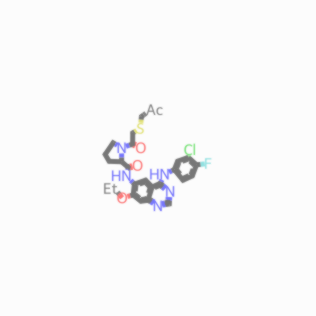 CCOc1cc2ncnc(Nc3ccc(F)c(Cl)c3)c2cc1NC(=O)C1CCCN1C(=O)CSCC(C)=O